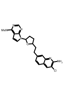 CNc1ncnc2c1ccn2C1CCC(CCc2ccc3cc(Cl)c(N)nc3c2)O1